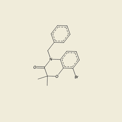 CC1(C)Oc2c(Br)cccc2N(Cc2ccccc2)C1=O